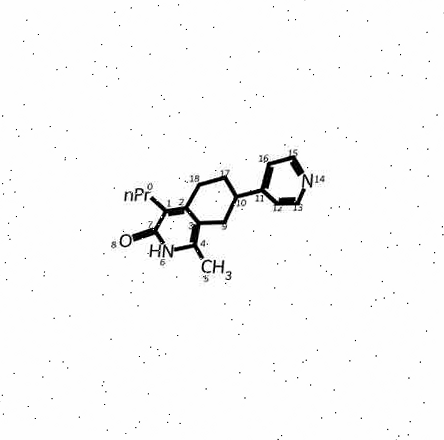 CCCc1c2c(c(C)[nH]c1=O)CC(c1ccncc1)CC2